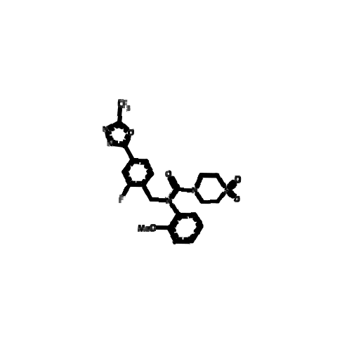 COc1ccccc1N(Cc1ccc(-c2nnc(C(F)(F)F)o2)cc1F)C(=O)N1CCS(=O)(=O)CC1